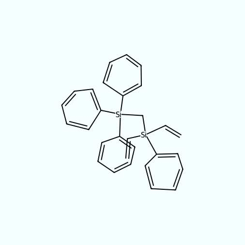 C=C[Si](C=C)(C[Si](c1ccccc1)(c1ccccc1)c1ccccc1)c1ccccc1